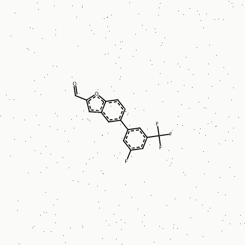 O=Cc1cc2cc(-c3cc(F)cc(C(F)(F)F)c3)ccc2o1